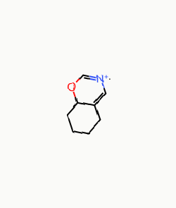 C1=[N+]C=C2CCCCC2O1